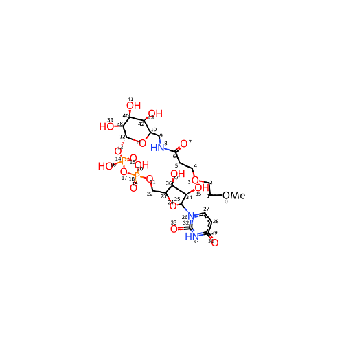 COCCOCCC(=O)NCC1O[C@H](OP(=O)(O)OP(=O)(O)OCC2OC(n3ccc(=O)[nH]c3=O)[C@H](O)[C@@H]2O)C(O)[C@@H](O)[C@H]1O